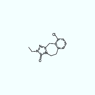 CCn1nc2n(c1=O)CCc1cccc(Cl)c1C2